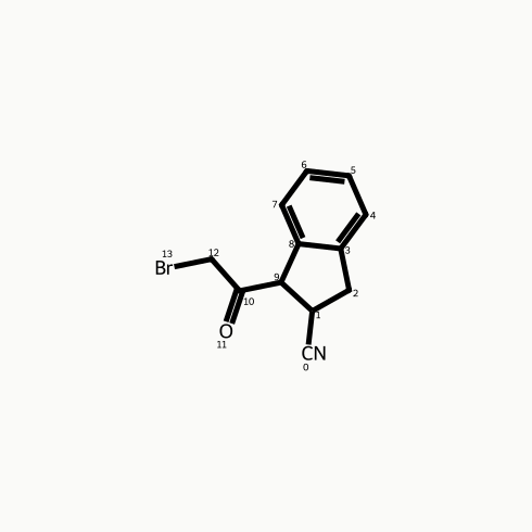 N#CC1Cc2ccccc2C1C(=O)CBr